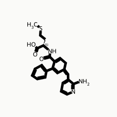 CSCC[C@H](NC(=O)C1=CCC(=Cc2cccnc2N)C=C1c1ccccc1)C(=O)O